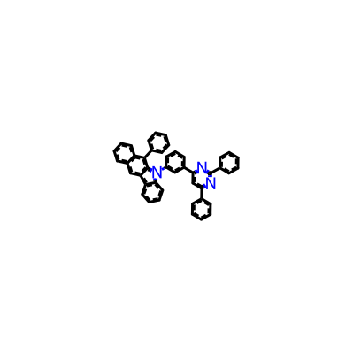 c1ccc(-c2cc(-c3cccc(-n4c5ccccc5c5cc6ccccc6c(-c6ccccc6)c54)c3)nc(-c3ccccc3)n2)cc1